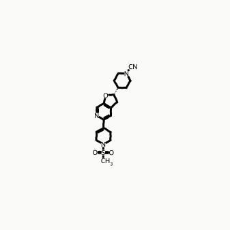 CS(=O)(=O)N1CC=C(c2cc3c(cn2)O[C@H](C2CCN(C#N)CC2)C3)CC1